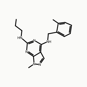 CCCNc1nc(NCc2ccccc2C)c2cnn(C)c2n1